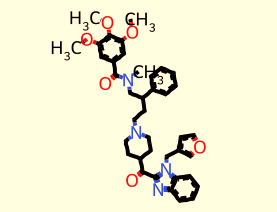 COc1cc(C(=O)N(C)CC(CCN2CCC(C(=O)c3nc4ccccc4n3Cc3ccoc3)CC2)c2ccccc2)cc(OC)c1OC